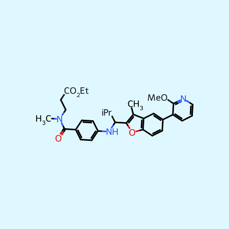 CCOC(=O)CCN(C)C(=O)c1ccc(NC(c2oc3ccc(-c4cccnc4OC)cc3c2C)C(C)C)cc1